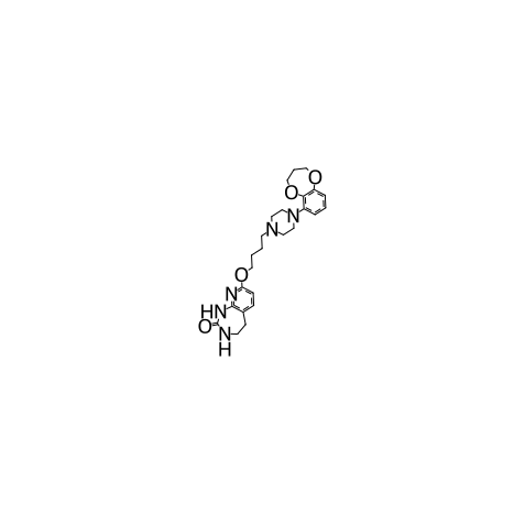 O=C1NCCc2ccc(OCCCCN3CCN(c4cccc5c4OCCCO5)CC3)nc2N1